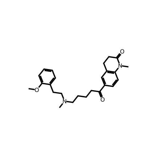 COc1ccccc1CCN(C)CCCCC(=O)c1ccc2c(c1)CCC(=O)N2C